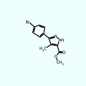 COC(=O)c1[nH]nc(-c2ccc(Br)cc2)c1C